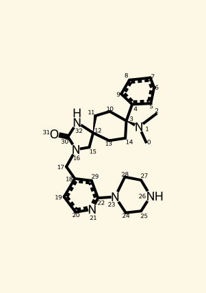 CN(C)[C@]1(c2ccccc2)CC[C@@]2(CC1)CN(Cc1ccnc(N3CCNCC3)c1)C(=O)N2